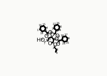 C=CCO[C@H]1O[C@H](CO)[C@@H](OC(=O)c2ccccc2)[C@H](OC(=O)c2ccccc2)[C@@H]1OC(=O)c1ccccc1